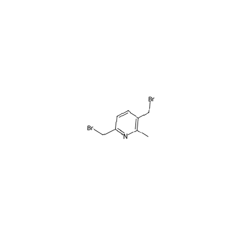 Cc1nc(CBr)ccc1CBr